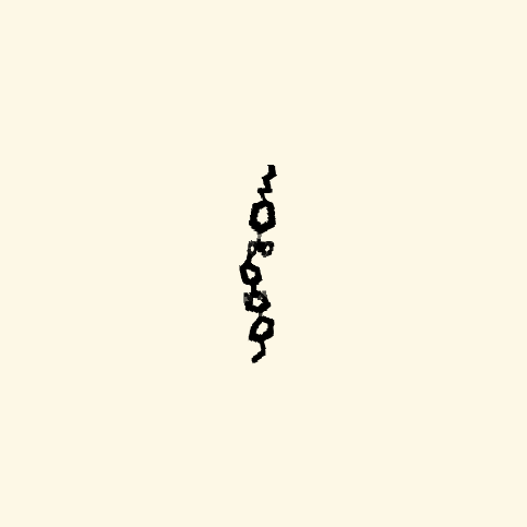 CCCCC[C@H]1CC[C@H](C(=O)Oc2ccc(-c3ncc([C@H]4CC[C@H](CC)CC4)cn3)cc2)CC1